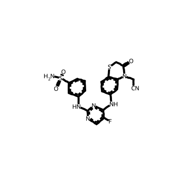 N#CCN1C(=O)CSc2ccc(Nc3nc(Nc4cccc(S(N)(=O)=O)c4)ncc3F)cc21